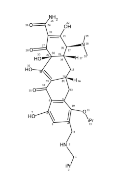 CC(C)CNCc1cc(O)c2c(c1OC(C)C)C[C@H]1C[C@H]3[C@H](N(C)C)C(O)=C(C(N)=O)C(=O)[C@@]3(O)C(O)=C1C2=O